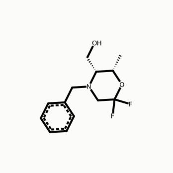 C[C@@H]1OC(F)(F)CN(Cc2ccccc2)[C@@H]1CO